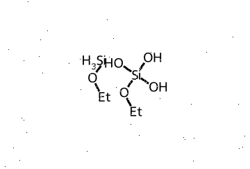 CCO[SiH3].CCO[Si](O)(O)O